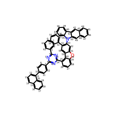 c1ccc(-c2nc(-c3ccc(-c4cccc5ccccc45)cc3)nc(-c3cccc4oc5cc(-n6c7ccccc7c7cc8ccccc8cc76)c(-c6ccccc6)cc5c34)n2)cc1